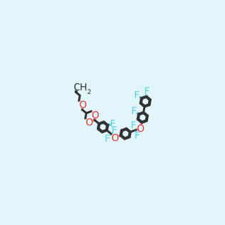 C=CCCOCC1COC(c2ccc(C(F)(F)Oc3ccc(C(F)(F)Oc4ccc(-c5ccc(F)c(F)c5)c(F)c4)cc3)c(F)c2)OC1